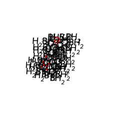 Bc1c(B)c(B)c(-c2c(B)c(B)c(B)c(B)c2-c2c3c(B)c(B)c(B)c(B)c3c(-c3c(B)c(B)c(-c4c(B)c(B)c(B)c5oc6c7c(B)c(B)c(B)c(B)c7c(B)c(B)c6c45)c(B)c3B)c3c(B)c(B)c(B)c(B)c23)c(B)c1B